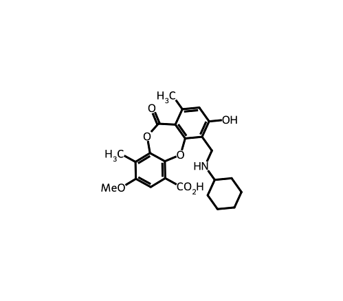 COc1cc(C(=O)O)c2c(c1C)OC(=O)c1c(C)cc(O)c(CNC3CCCCC3)c1O2